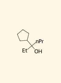 CCCC(O)(CC)C1CCCC1